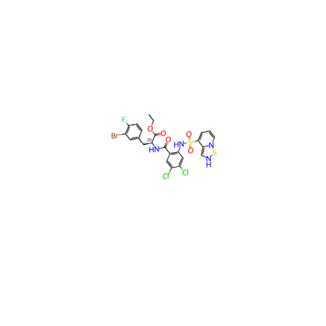 CCOC(=O)[C@H](Cc1ccc(F)c(Br)c1)NC(=O)c1cc(Cl)c(Cl)cc1NS(=O)(=O)C1=CC=CN2SNC=C12